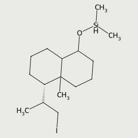 CC(CI)[C@@H]1CCCC2C(O[SiH](C)C)CCCC21C